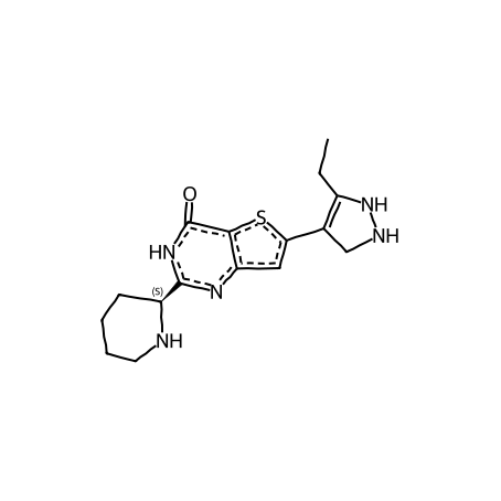 CCC1=C(c2cc3nc([C@@H]4CCCCN4)[nH]c(=O)c3s2)CNN1